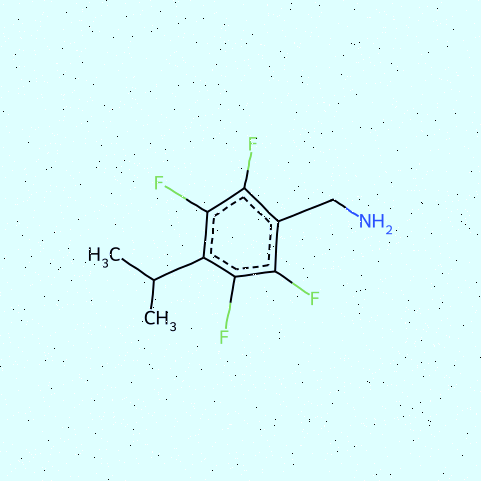 CC(C)c1c(F)c(F)c(CN)c(F)c1F